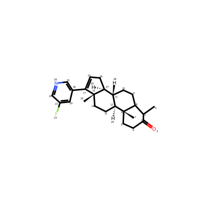 CC1C(=O)CC[C@@]2(C)C1CC[C@@H]1[C@@H]2CC[C@]2(C)C(c3cncc(F)c3)=CC[C@@H]12